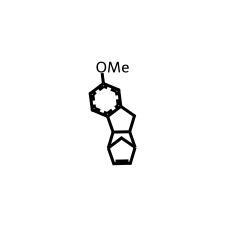 COc1ccc2c(c1)CC1C3C=CC(C3)C21